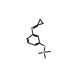 C[Si](C)(C)Sc1cccc(N=C2CC2)c1